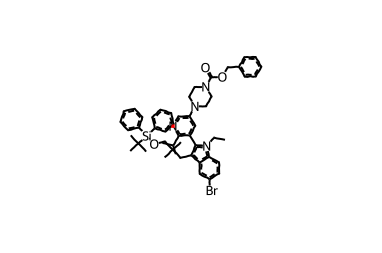 CCn1c(-c2cc(N3CCN(C(=O)OCc4ccccc4)CC3)cnc2C(C)C)c(CC(C)(C)CO[Si](c2ccccc2)(c2ccccc2)C(C)(C)C)c2cc(Br)ccc21